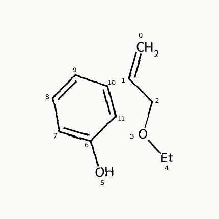 C=CCOCC.Oc1ccccc1